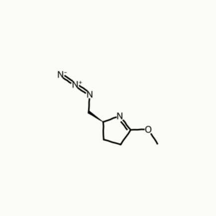 COC1=N[C@H](CN=[N+]=[N-])CC1